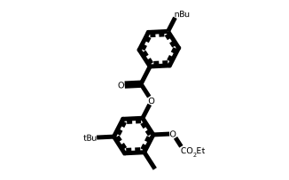 CCCCc1ccc(C(=O)Oc2cc(C(C)(C)C)cc(C)c2OC(=O)OCC)cc1